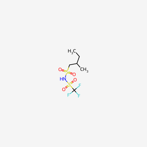 CCC(C)CS(=O)(=O)NS(=O)(=O)C(F)(F)F